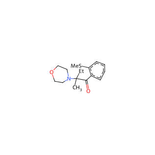 CCC(C)(C(=O)c1ccccc1SC)N1CCOCC1